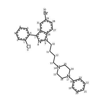 Clc1ccccc1-c1nn(CCCCN2CCN(c3ccccc3)CC2)c2ccc(Br)cc12